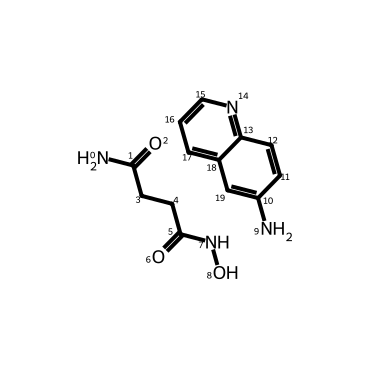 NC(=O)CCC(=O)NO.Nc1ccc2ncccc2c1